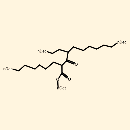 CCCCCCCCCCCCCCCCC(CCCCCCCCCCCC)C(=O)C(CCCCCCCCCCCCCCCC)C(=O)OCCCCCCCC